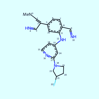 CN/C=C(\C=N)c1ccc(C=N)c(Nc2ccnc(N3CCC(F)C3)c2)c1